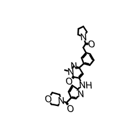 Cn1nc(-c2cccc(CC(=O)N3CCCC3)c2)cc(Nc2ccc(C(=O)N3CCOCC3)cn2)c1=O